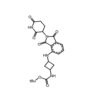 CC(C)(C)OC(=O)NC1CC(Nc2cccc3c2C(=O)N(C2CCC(=O)NC2=O)C3=O)C1